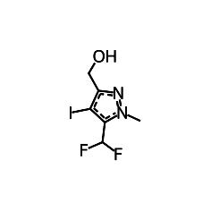 Cn1nc(CO)c(I)c1C(F)F